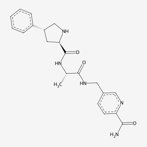 C[C@H](NC(=O)[C@H]1C[C@H](c2ccccc2)CN1)C(=O)NCc1ccc(C(N)=O)nc1